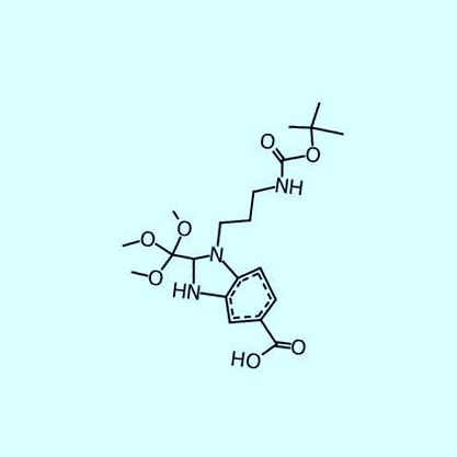 COC(OC)(OC)C1Nc2cc(C(=O)O)ccc2N1CCCNC(=O)OC(C)(C)C